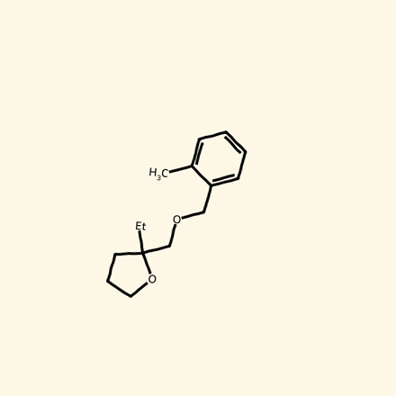 CCC1(COCc2ccccc2C)CCCO1